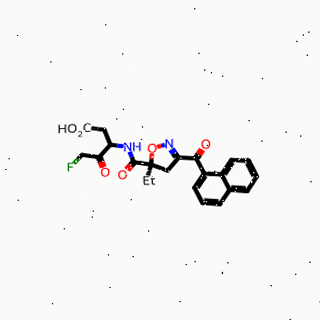 CCC1(C(=O)NC(CC(=O)O)C(=O)CF)CC(C(=O)c2cccc3ccccc23)=NO1